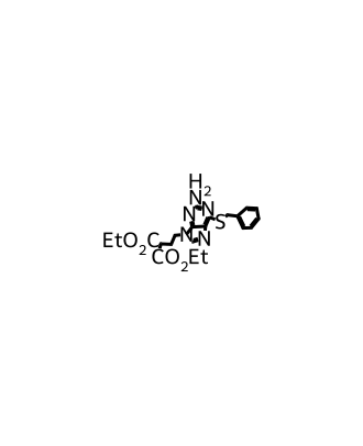 CCOC(=O)C(CCn1cnc2c(SCc3ccccc3)nc(N)nc21)C(=O)OCC